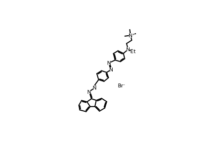 CCN(CC[N+](C)(C)C)c1ccc(/N=N/c2ccc(/C=N/N=C3c4ccccc4-c4ccccc43)cc2)cc1.[Br-]